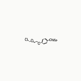 COc1ccc(OCCOCCl)cc1